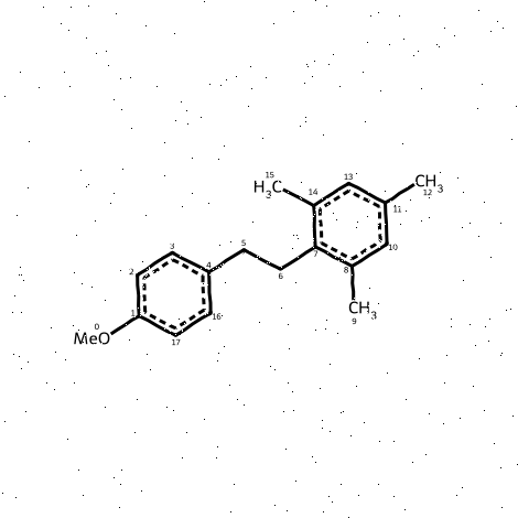 COc1ccc([CH]Cc2c(C)cc(C)cc2C)cc1